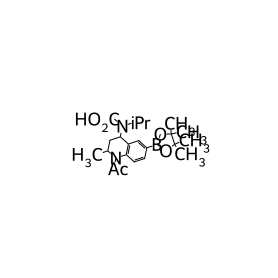 CC(=O)N1c2ccc(B3OC(C)(C)C(C)(C)O3)cc2C(N(C(=O)O)C(C)C)CC1C